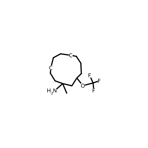 CC1(N)CCCCCCCCCC(OC(F)(F)F)C1